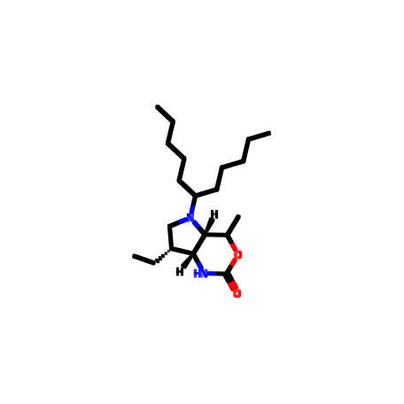 CCCCCC(CCCCC)N1C[C@@H](CC)[C@H]2NC(=O)OC(C)[C@H]21